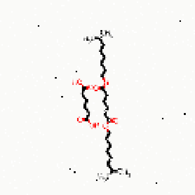 CC(C)CCCCCCOC(=O)CCCCC(=O)OCCCCCCC(C)C.O=C(O)CCCCC(=O)O